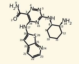 NC(=O)c1nnc(N[C@@H]2CCCC[C@@H]2N)nc1Nc1cc2cccnc2s1